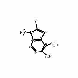 Cc1ccc2c(cc(Cl)n2C)c1C